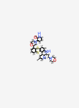 Cc1ccc(C(CCN2CCOCC2)Nc2ccc3c(c2)Sc2cccc(C4CN(c5ccc[nH]c5=O)CCO4)c2S3)nc1